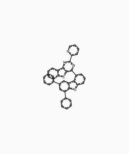 c1ccc(-c2cc(-c3ccccc3)c3oc4cccc(-c5nc(-c6ccccn6)nc6c5sc5ccccc56)c4c3c2)cc1